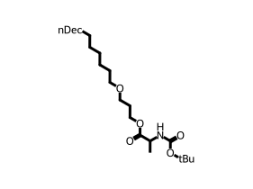 CCCCCCCCCCCCCCCCOCCCOC(=O)C(C)NC(=O)OC(C)(C)C